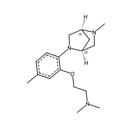 Cc1ccc(N2C[C@@H]3C[C@H]2CN3C)c(OCCN(C)C)c1